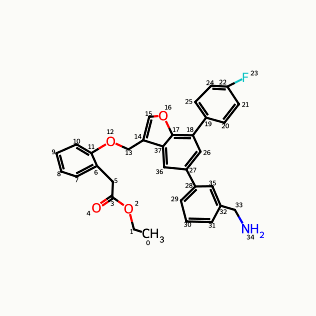 CCOC(=O)Cc1ccccc1OCc1coc2c(-c3ccc(F)cc3)cc(-c3cccc(CN)c3)cc12